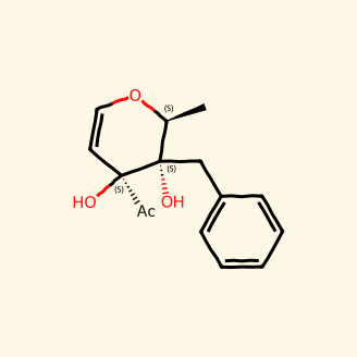 CC(=O)[C@]1(O)C=CO[C@@H](C)[C@@]1(O)Cc1ccccc1